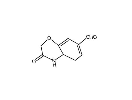 O=CC1=CCC2NC(=O)COC2=C1